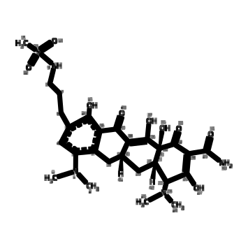 CN(C)c1cc(CCCNS(C)(=O)=O)c(O)c2c1C[C@H]1C[C@H]3C(N(C)C)C(O)=C(C(N)=O)C(=O)[C@@]3(O)C(O)=C1C2=O